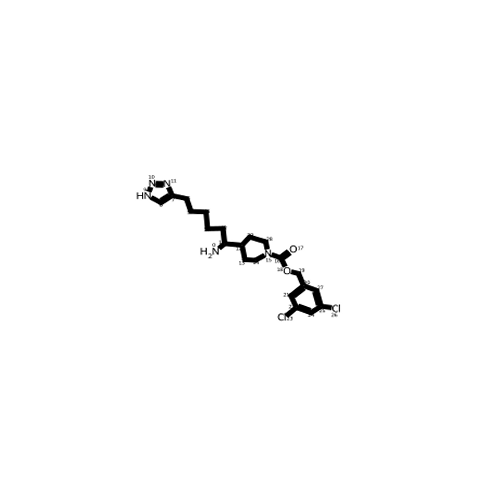 NC(CCCCCc1c[nH]nn1)C1CCN(C(=O)OCc2cc(Cl)cc(Cl)c2)CC1